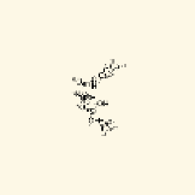 O=[Si](O)O.O=[Si](O)O.[Ca+2].[Ca+2].[Ca+2].[Ca+2].[Ca+2].[N-3].[N-3]